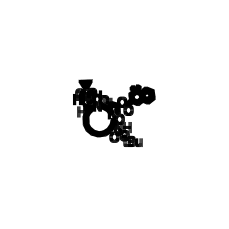 CC(C)(C)OC(=O)N[C@H]1CCCCC/C=C\[C@@H]2C[C@@]2(C(=O)NS(=O)(=O)C2CC2)NC(=O)[C@@H]2C[C@@H](OC(=O)C3Cc4ccccc4C(C)(C)C3)CN2C1=O